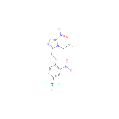 CCn1c([N+](=O)[O-])cnc1COc1ccc(C(F)(F)F)cc1[N+](=O)[O-]